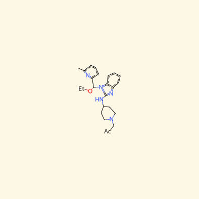 CCOC(c1cccc(C)n1)n1c(NC2CCN(CC(C)=O)CC2)nc2ccccc21